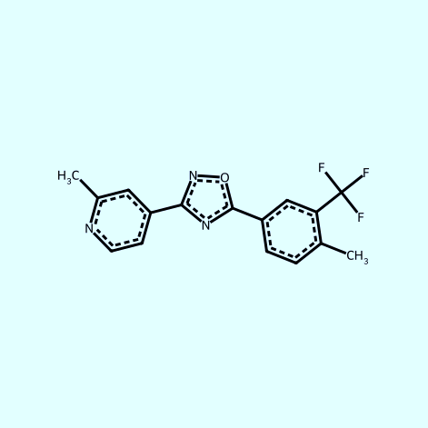 Cc1cc(-c2noc(-c3ccc(C)c(C(F)(F)F)c3)n2)ccn1